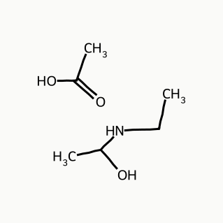 CC(=O)O.CCNC(C)O